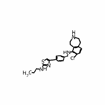 CCCNc1nc(-c2ccc(CNc3c(Cl)ccc4c3CCNCC4)cc2)cs1